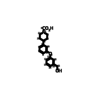 O=C(O)N1CCC(c2cccc(Oc3cccc(CO)c3)c2)CC1